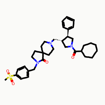 CS(=O)(=O)c1ccc(CN2CCC3(CCN(C[C@H]4CN(C(=O)C5CCCCCC5)C[C@@H]4c4ccccc4)CC3)C2=O)cc1